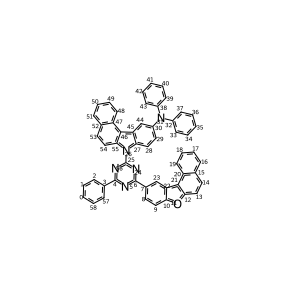 c1ccc(-c2nc(-c3ccc4oc5ccc6ccccc6c5c4c3)nc(-n3c4ccc(N(c5ccccc5)c5ccccc5)cc4c4c5ccccc5ccc43)n2)cc1